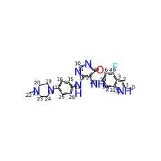 Cc1cc2c(F)c(Oc3ncnc(Nc4ccc(N5CCN(C)CC5)cc4)c3N)ccc2[nH]1